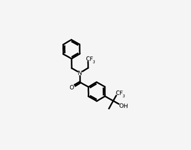 CC(O)(c1ccc(C(=O)N(Cc2ccccc2)CC(F)(F)F)cc1)C(F)(F)F